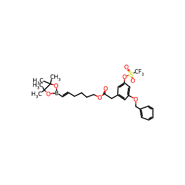 CC1(C)OB(/C=C/CCCCOC(=O)Cc2cc(OCc3ccccc3)cc(OS(=O)(=O)C(F)(F)F)c2)OC1(C)C